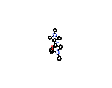 Cn1c2c(-c3ccccc3-c3nc(-c4ccccc4)nc(-c4ccccc4)n3)cccc2c2c3oc4ccccc4c3cc(-c3ccccc3-c3nc(-c4ccccc4)nc(-c4ccccc4)n3)c21